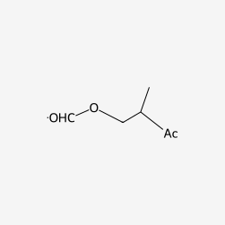 CC(=O)C(C)CO[C]=O